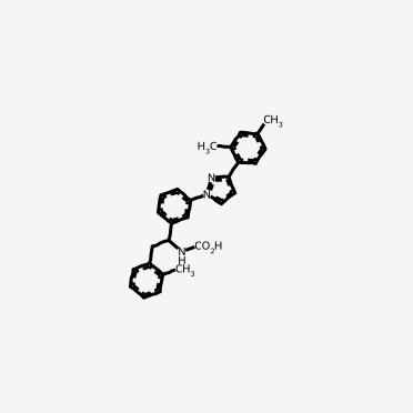 Cc1ccc(-c2ccn(-c3cccc(C(Cc4ccccc4C)NC(=O)O)c3)n2)c(C)c1